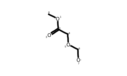 COC(=O)COC[O]